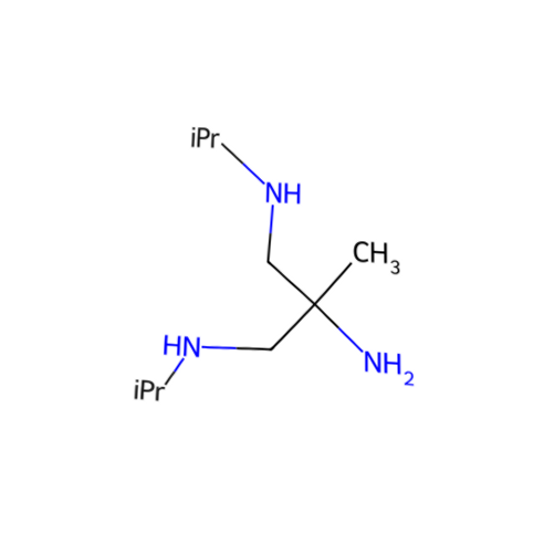 CC(C)NCC(C)(N)CNC(C)C